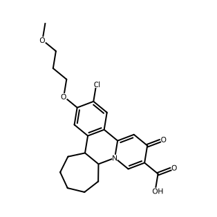 COCCCOc1cc2c(cc1Cl)-c1cc(=O)c(C(=O)O)cn1C1CCCCCC21